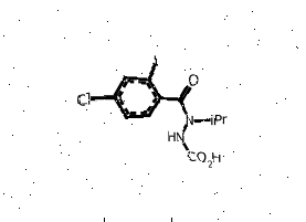 CC(C)N(NC(=O)O)C(=O)c1ccc(Cl)cc1I